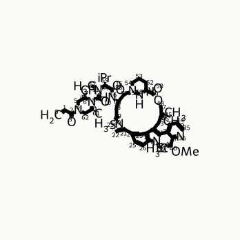 C=CC(=O)N1C[C@@H](C)N(C(=O)N(C)[C@H](C(=O)N[C@H]2Cc3nc(cs3)-c3ccc4c(c3)c(c(-c3cccnc3[C@H](C)OC)n4CC)CC(C)(C)COC(=O)[C@@H]3CCCN(N3)C2=O)C(C)C)[C@H](C)C1